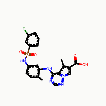 Cc1ccc(NS(=O)(=O)c2cccc(F)c2)cc1Nc1ncnn2cc(C(=O)O)c(C)c12